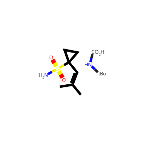 CC(C)(C)NC(=O)O.CC(C)=CC1(S(N)(=O)=O)CC1